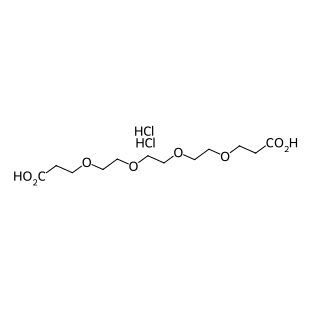 Cl.Cl.O=C(O)CCOCCOCCOCCOCCC(=O)O